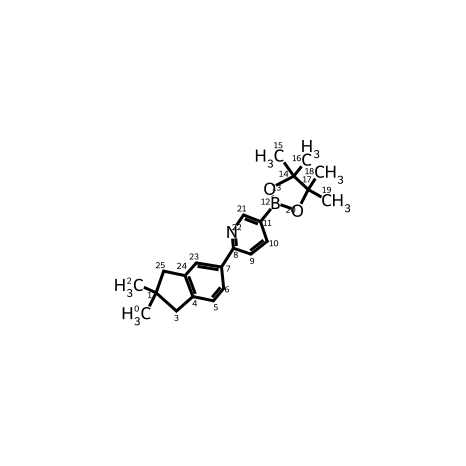 CC1(C)Cc2ccc(-c3ccc(B4OC(C)(C)C(C)(C)O4)cn3)cc2C1